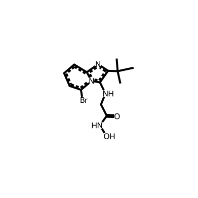 CC(C)(C)c1nc2cccc(Br)n2c1NCC(=O)NO